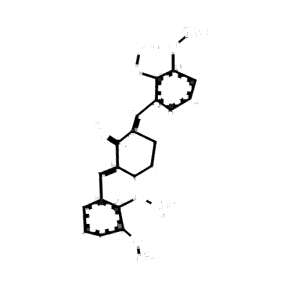 CCCCOc1cccc(/C=C2\CCC/C(=C\c3cccc(OCCCC)c3OCCCC)C2=O)c1OCCCC